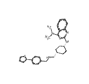 CN(C)c1nc(N[C@H]2CC[C@@H](CNCc3ccc(-c4cccs4)cc3)CC2)nc2ccccc12